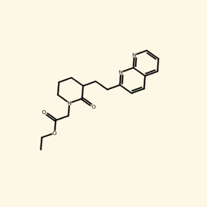 CCOC(=O)CN1CCCC(CCc2ccc3cccnc3n2)C1=O